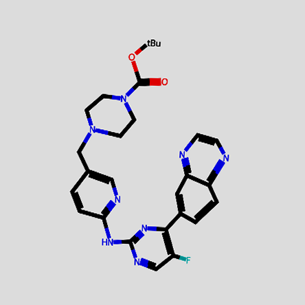 CC(C)(C)OC(=O)N1CCN(Cc2ccc(Nc3ncc(F)c(-c4ccc5nccnc5c4)n3)nc2)CC1